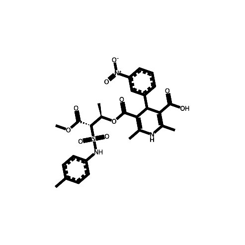 COC(=O)[C@H]([C@@H](C)OC(=O)C1=C(C)NC(C)=C(C(=O)O)C1c1cccc([N+](=O)[O-])c1)S(=O)(=O)Nc1ccc(C)cc1